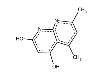 Cc1cc(C)c2c(O)cc(O)nc2n1